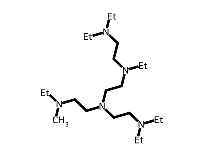 CCN(C)CCN(CCN(CC)CC)CCN(CC)CCN(CC)CC